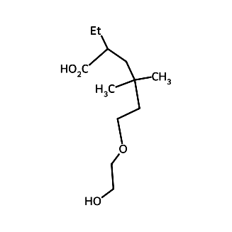 CCC(CC(C)(C)CCOCCO)C(=O)O